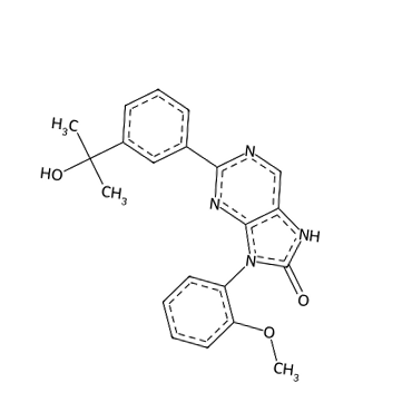 COc1ccccc1-n1c(=O)[nH]c2cnc(-c3cccc(C(C)(C)O)c3)nc21